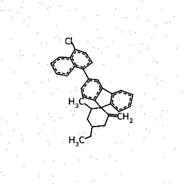 C=C1CC(CC)CC(C)C12c1ccccc1-c1cc(-c3ccc(Cl)c4ccccc34)ccc12